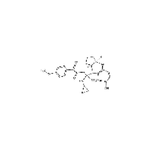 N#Cc1ccc2c(c1)C(C(CC(=O)C(=O)c1ccc(OC(F)(F)F)cc1)(NC1CC1)C(=O)O)[C@H]1CCC[C@H]1N2